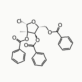 C[C@]1(OC(=O)c2ccccc2)[C@H](Cl)O[C@H](COC(=O)c2ccccc2)[C@H]1OC(=O)c1ccccc1